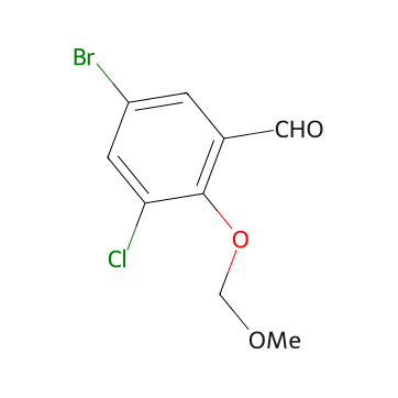 COCOc1c(Cl)cc(Br)cc1C=O